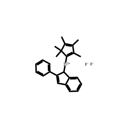 CC1=C(C)C(C)(C)[C]([Zr+2][CH]2C(c3ccccc3)=Cc3ccccc32)=C1C.[F-].[F-]